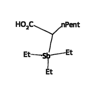 CCCCC[CH](C(=O)O)[Sb]([CH2]C)([CH2]C)[CH2]C